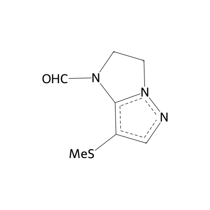 CSc1cnn2c1N(C=O)CC2